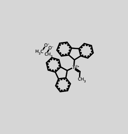 C[CH]=[Ti+2]([CH]1c2ccccc2-c2ccccc21)[CH]1c2ccccc2-c2ccccc21.C[O-].C[O-]